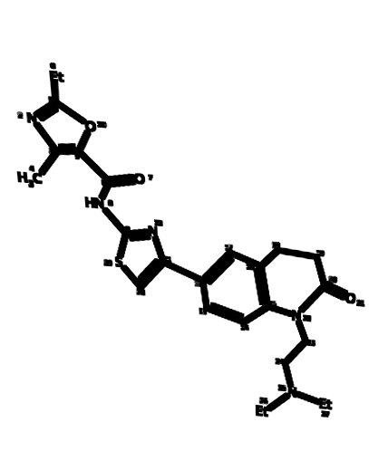 CCc1nc(C)c(C(=O)Nc2nc(-c3ccc4c(c3)CCC(=O)N4CCN(CC)CC)cs2)o1